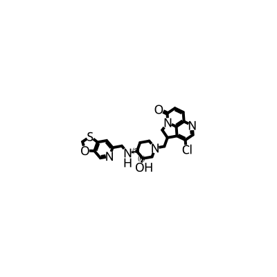 O=c1ccc2ncc(Cl)c3c2n1CC3CN1CC[C@H](NCc2cc3c(cn2)OCS3)[C@H](O)C1